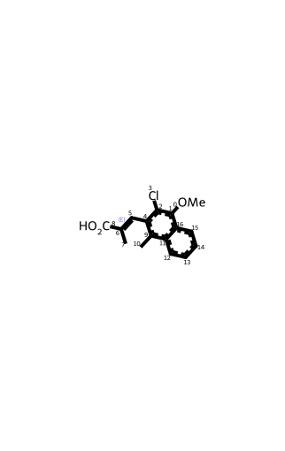 COc1c(Cl)c(/C=C(\C)C(=O)O)c(C)c2ccccc12